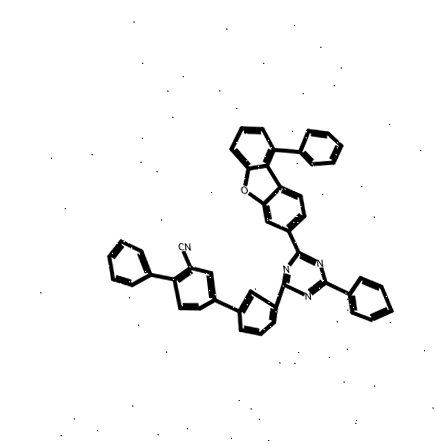 N#Cc1cc(-c2cccc(-c3nc(-c4ccccc4)nc(-c4ccc5c(c4)oc4cccc(-c6ccccc6)c45)n3)c2)ccc1-c1ccccc1